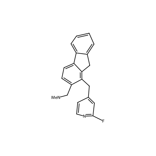 CNCc1ccc2c(c1Cc1ccnc(F)c1)Cc1ccccc1-2